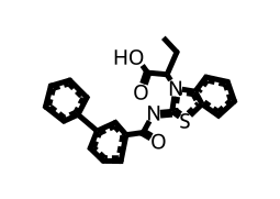 CCC(C(=O)O)n1c(=NC(=O)c2cccc(-c3ccccc3)c2)sc2ccccc21